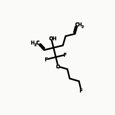 C=CCCC(O)(C=C)C(F)(F)OCCCF